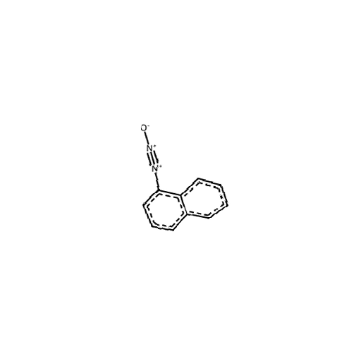 [O-][N+]#[N+]c1cccc2ccccc12